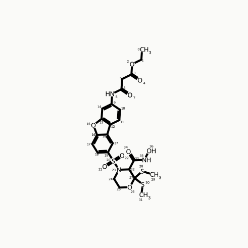 CCOC(=O)CC(=O)Nc1ccc2c(c1)oc1ccc(S(=O)(=O)N3CCOC(SC)(SC)C3C(=O)NO)cc12